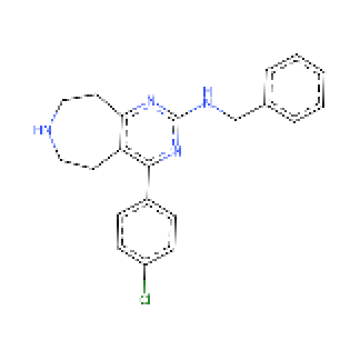 Clc1ccc(-c2nc(NCc3ccccc3)nc3c2CCNCC3)cc1